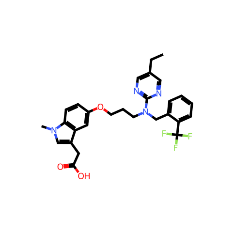 CCc1cnc(N(CCCOc2ccc3c(c2)c(CC(=O)O)cn3C)Cc2ccccc2C(F)(F)F)nc1